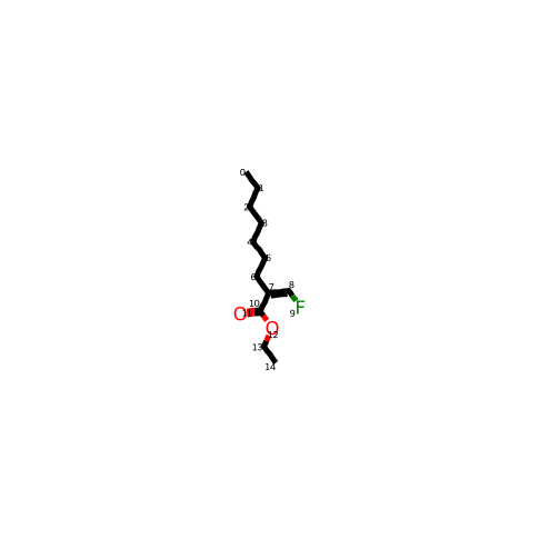 CCCCCCCC(=CF)C(=O)OCC